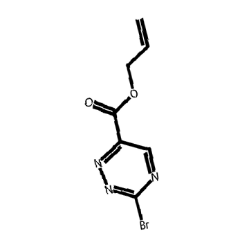 C=CCOC(=O)c1cnc(Br)nn1